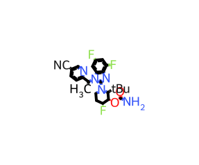 CC(c1ccc(C#N)cn1)n1c(N2CC[C@@H](F)[C@H](OC(N)=O)C2C(C)(C)C)nc2c(F)cc(F)cc21